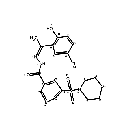 C/C(=N/NC(=O)c1cncc(S(=O)(=O)N2CCOCC2)c1)c1cc(Cl)ccc1O